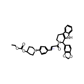 CCOC(=O)OC1CCN(c2ccc(/C=C/C(=O)N3CCc4c([nH]c5ccccc45)C3c3ccc4c(c3)OCO4)cc2)CC1